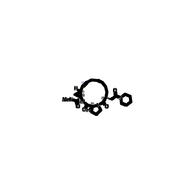 CNC(=O)[C@]12C[C@@H]1/C=C\CCCCC[C@H](CC(=O)N1CCCCC1)C(=O)N1CCC[C@H]1C(=O)N2